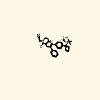 CC(C)(C)N(C(=O)O)C1(c2ccc(-c3nc4c(cc3-c3ccccc3)C(=O)N(CC#N)CC4)cc2)CCC1